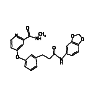 CNC(=O)c1cc(Oc2cccc(CCC(=O)Nc3ccc4c(c3)OCO4)c2)ccn1